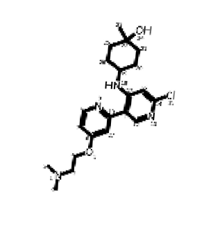 CN(C)CCOc1ccnc(-c2cnc(Cl)cc2NC2CCC(C)(O)CC2)c1